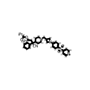 CCC[C@H](CC(C#N)(c1ccccc1)C1CCN(CC2CN(c3ccc(S(=O)(=O)c4ccncc4)cc3)C2)CC1)OC(=O)C(C)C